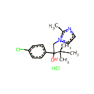 Cc1nccn1CC(O)(c1ccc(Cl)cc1)C(C)(C)C.Cl